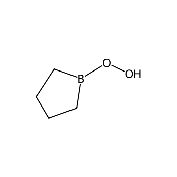 OOB1CCCC1